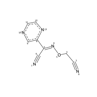 N#CCON=C(C#N)c1cnccn1